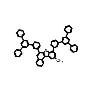 Cc1cc(-c2cccc(-c3cc(-c4ccccc4)cc(-c4ccccc4)c3)c2)c2sc3c(-c4cccc(-c5cc(-c6ccccc6)cc(-c6ccccc6)c5)c4)cc4ccccc4c3c2c1